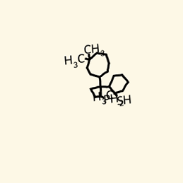 CC1(C)CCCCC(C2(C3CCCCC3(C)S)CCC2P)CC1